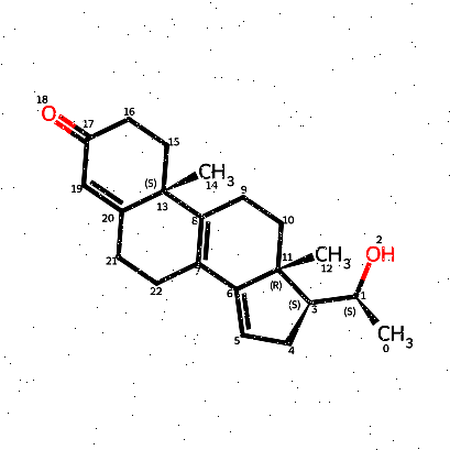 C[C@H](O)[C@H]1CC=C2C3=C(CC[C@@]21C)[C@@]1(C)CCC(=O)C=C1CC3